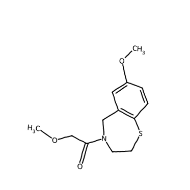 COCC(=O)N1CCSc2ccc(OC)cc2C1